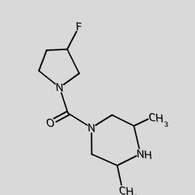 CC1CN(C(=O)N2CCC(F)C2)CC(C)N1